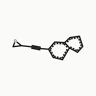 C(#CC1CO1)c1ccc2ccccc2c1